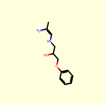 CC(N)=CNCC(O)COc1ccccc1